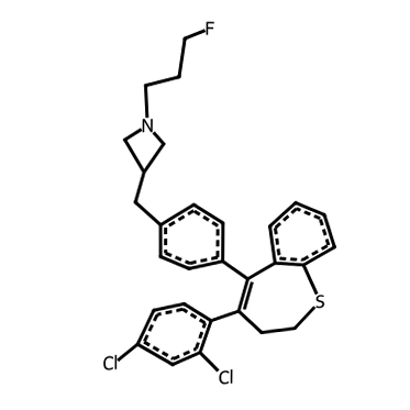 FCCCN1CC(Cc2ccc(C3=C(c4ccc(Cl)cc4Cl)CCSc4ccccc43)cc2)C1